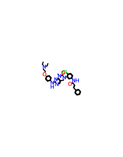 CCN(CC)CCOc1ccc(Nc2ncc3c(n2)N(C)C(=O)N(c2cc(NC(=O)C=Cc4ccccc4)ccc2Cl)C3)cc1